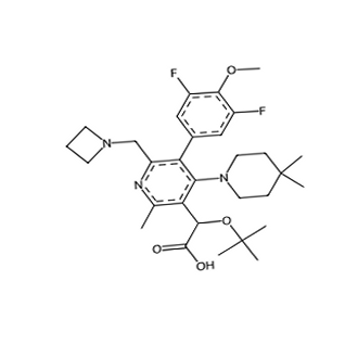 COc1c(F)cc(-c2c(CN3CCC3)nc(C)c(C(OC(C)(C)C)C(=O)O)c2N2CCC(C)(C)CC2)cc1F